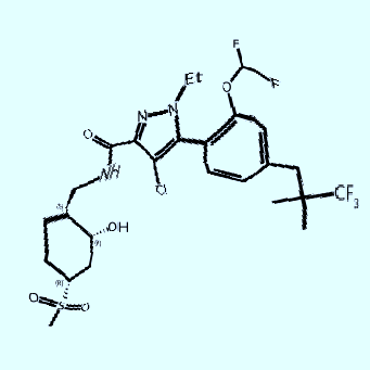 CCn1nc(C(=O)NC[C@@H]2CC[C@@H](S(C)(=O)=O)C[C@H]2O)c(Cl)c1-c1ccc(CC(C)(C)C(F)(F)F)cc1OC(F)F